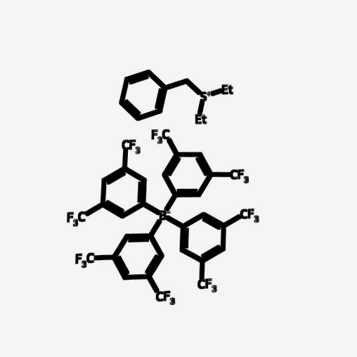 CC[S+](CC)Cc1ccccc1.FC(F)(F)c1cc([B-](c2cc(C(F)(F)F)cc(C(F)(F)F)c2)(c2cc(C(F)(F)F)cc(C(F)(F)F)c2)c2cc(C(F)(F)F)cc(C(F)(F)F)c2)cc(C(F)(F)F)c1